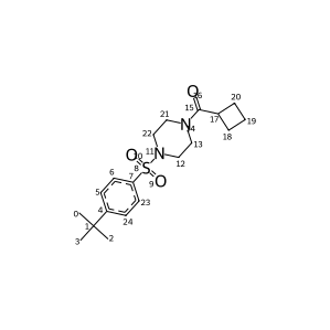 CC(C)(C)c1ccc(S(=O)(=O)N2CCN(C(=O)C3CCC3)CC2)cc1